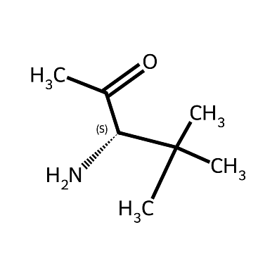 CC(=O)[C@@H](N)C(C)(C)C